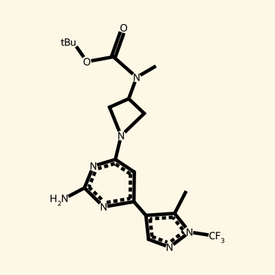 Cc1c(-c2cc(N3CC(N(C)C(=O)OC(C)(C)C)C3)nc(N)n2)cnn1C(F)(F)F